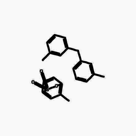 Cc1cc2ccc1OS2(=O)=O.Cc1cccc(Cc2cccc(C)c2)c1